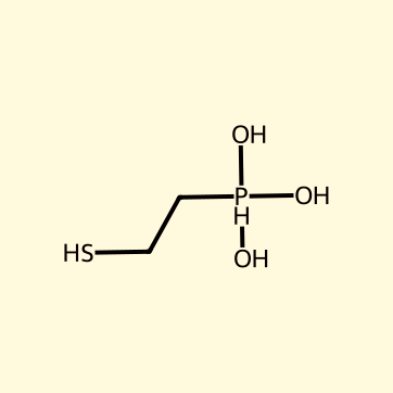 O[PH](O)(O)CCS